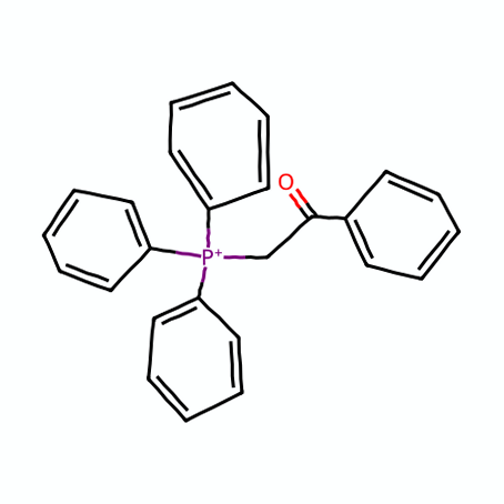 O=C(C[P+](c1ccccc1)(c1ccccc1)c1ccccc1)c1ccccc1